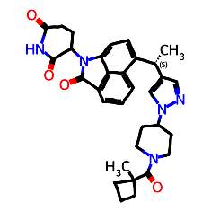 C[C@H](c1cnn(C2CCN(C(=O)C3(C)CCC3)CC2)c1)c1ccc2c3c(cccc13)C(=O)N2C1CCC(=O)NC1=O